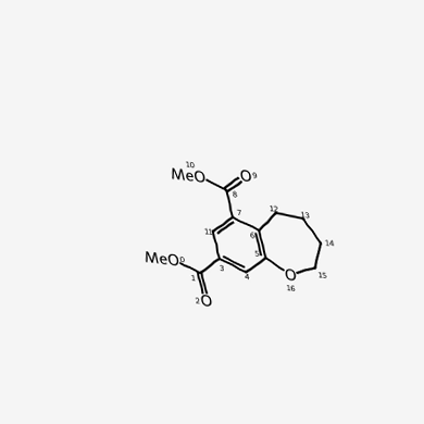 COC(=O)c1cc2c(c(C(=O)OC)c1)CCCCO2